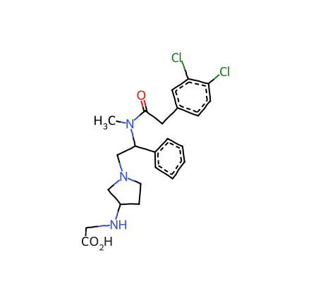 CN(C(=O)Cc1ccc(Cl)c(Cl)c1)C(CN1CCC(NCC(=O)O)C1)c1ccccc1